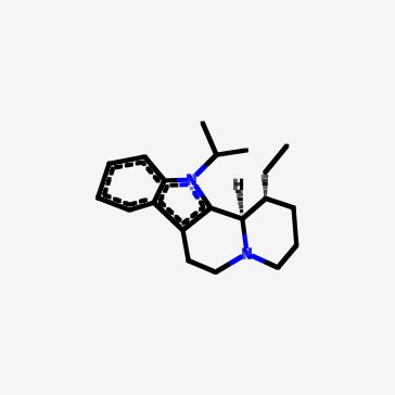 CC[C@@H]1CCCN2CCc3c(n(C(C)C)c4ccccc34)[C@@H]12